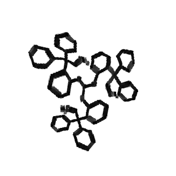 C=CC(c1ccccc1)(c1ccccc1)c1ccccc1OP(Oc1ccccc1C(C=C)(c1ccccc1)c1ccccc1)Oc1ccccc1C(C=C)(c1ccccc1)c1ccccc1